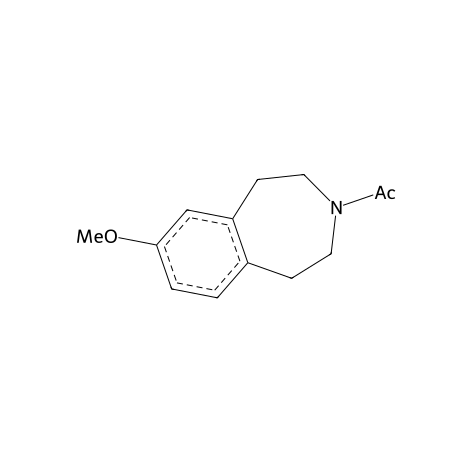 COc1ccc2c(c1)CCN(C(C)=O)CC2